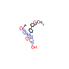 Cc1cc2cc(-c3ccc(C4=NC5(CCN(CCO)CC5)C(=O)N4N4CCN(C(=O)C5CC5)C4)cc3)ccc2o1